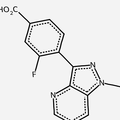 Cn1nc(-c2ccc(C(=O)O)cc2F)c2ncccc21